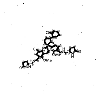 COc1nc(C2(c3ccc4c(OC)c(CNC[C@H]5CCC(=O)N5)cc(Cl)c4n3)C=CC=C(c3ccccc3Cl)C2Cl)cc(F)c1CNC[C@H]1CCC(=O)N1